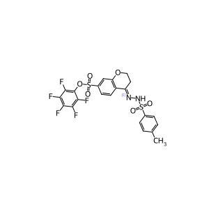 Cc1ccc(S(=O)(=O)N/N=C2\CCOc3cc(S(=O)(=O)Oc4c(F)c(F)c(F)c(F)c4F)ccc32)cc1